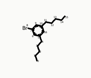 CCCCCc1cc(Br)cc(CCCCC)c1